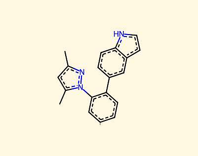 Cc1cc(C)n(-c2c[c]ccc2-c2ccc3[nH]ccc3c2)n1